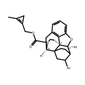 CC(=O)C1CC23CCC1[C@@H]1Oc4cccc5c4[C@@]12CCN(C(=O)OCC1=C(C)C1)[C@@H]3C5